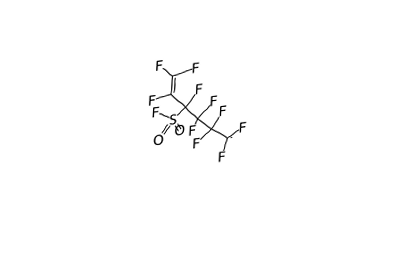 O=S(=O)(F)C(F)(C(F)=C(F)F)C(F)(F)C(F)(F)[C](F)F